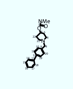 CNC(=O)OC1CCN(Cc2ccc(-c3ccccc3)cc2)CC1